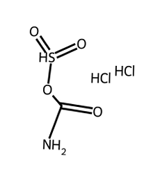 Cl.Cl.NC(=O)O[SH](=O)=O